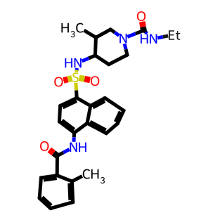 CCNC(=O)N1CCC(NS(=O)(=O)c2ccc(NC(=O)c3ccccc3C)c3ccccc23)C(C)C1